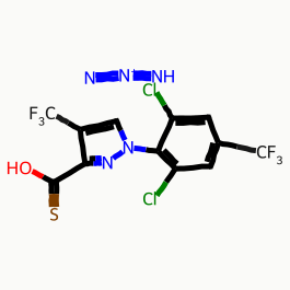 OC(=S)c1nn(-c2c(Cl)cc(C(F)(F)F)cc2Cl)cc1C(F)(F)F.[N-]=[N+]=N